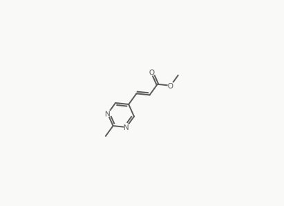 COC(=O)/C=C/c1cnc(C)nc1